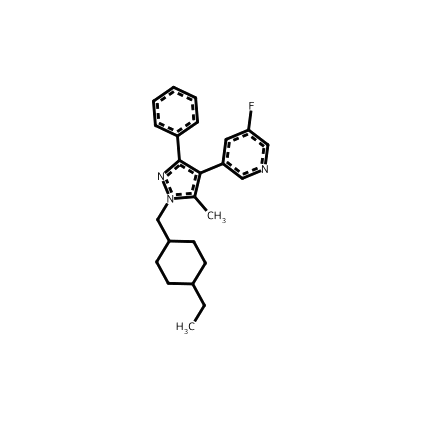 CCC1CCC(Cn2nc(-c3ccccc3)c(-c3cncc(F)c3)c2C)CC1